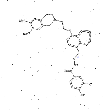 COc1cc2c(cc1OC)CN(CCOc1ccc(/C=N/NC(=O)c3ccc(O)c(Cl)c3)c3ccccc13)CC2